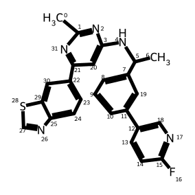 Cc1nc(NC(C)c2cccc(-c3ccc(F)nc3)c2)cc(-c2ccc3ncsc3c2)n1